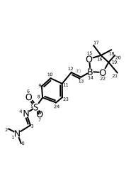 CN(C)C=NS(=O)(=O)c1ccc(/C=C/B2OC(C)(C)C(C)(C)O2)cc1